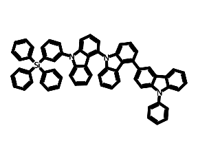 c1ccc(-n2c3ccccc3c3cc(-c4cccc5c4c4ccccc4n5-c4cccc5c4c4ccccc4n5-c4cccc([Si](c5ccccc5)(c5ccccc5)c5ccccc5)c4)ccc32)cc1